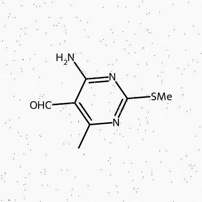 CSc1nc(C)c(C=O)c(N)n1